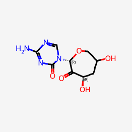 Nc1ncn([C@@H]2OCC(O)C[C@@H](O)C2=O)c(=O)n1